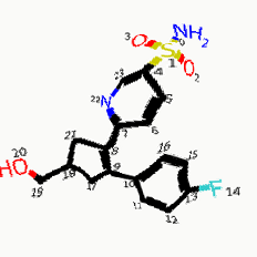 NS(=O)(=O)c1ccc(C2=C(c3ccc(F)cc3)CC(CO)C2)nc1